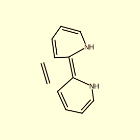 C1=CNC(=C2C=CC=CN2)C=C1.C=C